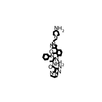 CC(NC(=O)c1c(N)nn2cccnc12)c1nc2cccc(-c3cnn(CCN4CCC(N)CC4)c3)c2c(=O)n1-c1ccccc1